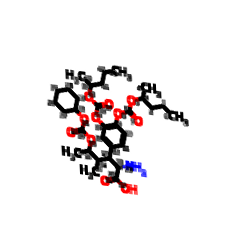 CCCC(C)OC(=O)Oc1ccc(C(C(C)C(C)OC(=O)OC2CCCCC2)[C@H](N)C(=O)O)cc1OC(=O)OC(C)CCC